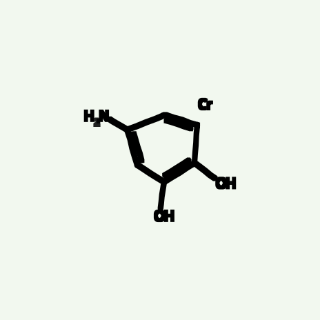 Nc1ccc(O)c(O)c1.[Cr]